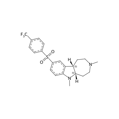 CN1CC[C@H]2c3cc(S(=O)(=O)c4ccc(C(F)(F)F)cc4)ccc3N(C)[C@H]2CC1